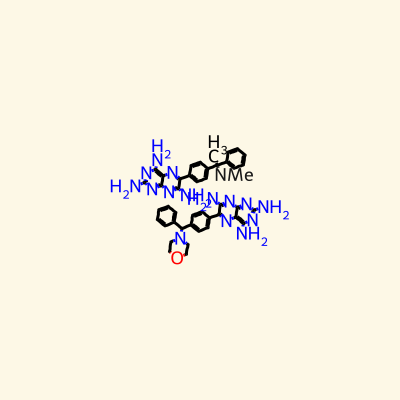 CNC(C)(c1ccccc1)c1ccc(-c2nc3c(N)nc(N)nc3nc2N)cc1.Nc1nc(N)c2nc(-c3ccc(C(c4ccccc4)N4CCOCC4)cc3)c(N)nc2n1